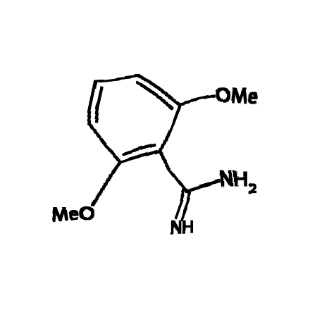 COc1cccc(OC)c1C(=N)N